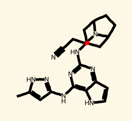 Cc1cc(Nc2nc(NC3CC4CCC(C3)N4CCC#N)nc3cc[nH]c23)n[nH]1